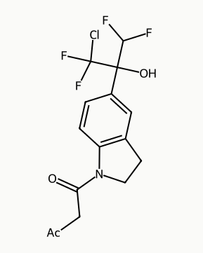 CC(=O)CC(=O)N1CCc2cc(C(O)(C(F)F)C(F)(F)Cl)ccc21